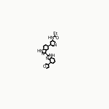 CCC(=O)Nc1cncc(-c2ccc3[nH]nc(-c4nc5c(-c6ccoc6)cccc5[nH]4)c3c2)c1